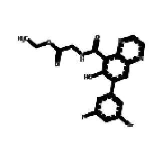 CCOC(=O)CNC(=O)c1c(O)c(-c2cc(F)cc(Br)c2)cc2nccnc12